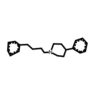 c1ccc(CCCCN2CCC(c3ccccc3)CC2)cc1